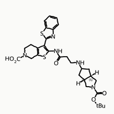 CC(C)(C)OC(=O)N1C[C@H]2CC(NCCC(=O)Nc3sc4c(c3-c3nc5ccccc5s3)CCN(C(=O)O)C4)C[C@H]2C1